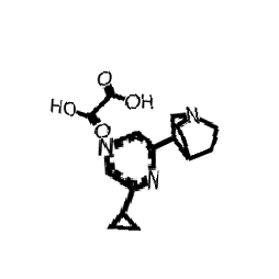 O=C(O)C(=O)O.c1ncc(C2CN3CCC2C3)nc1C1CC1